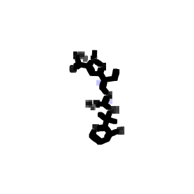 C=C/C(=C\N=C(/N)NC(C)(C)c1ncccc1Cl)c1cc(C(N)=O)n(C)n1